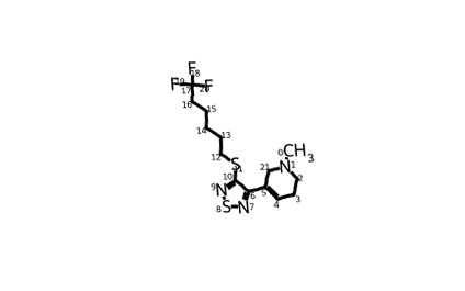 CN1CCC=C(c2nsnc2SCCCCCC(F)(F)F)C1